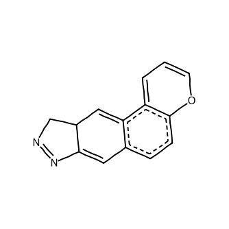 C1=COc2ccc3c(c2=C1)=CC1CN=NC1=C3